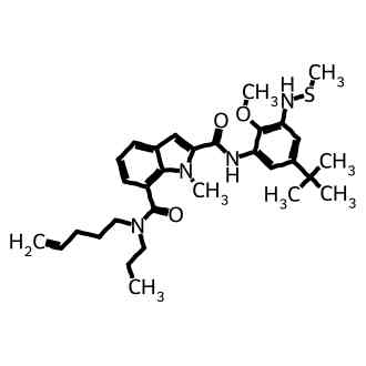 C=CCCCN(CCC)C(=O)c1cccc2cc(C(=O)Nc3cc(C(C)(C)C)cc(NSC)c3OC)n(C)c12